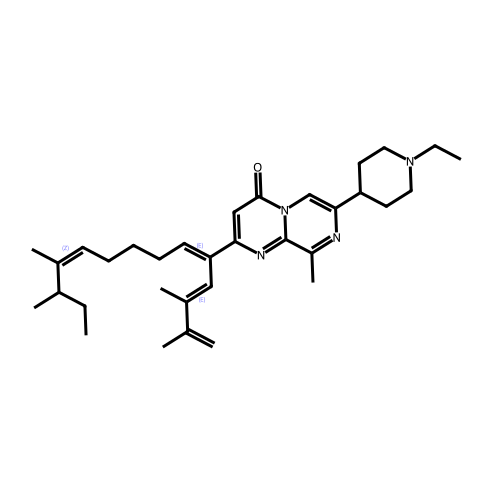 C=C(C)/C(C)=C/C(=C\CCC/C=C(/C)C(C)CC)c1cc(=O)n2cc(C3CCN(CC)CC3)nc(C)c2n1